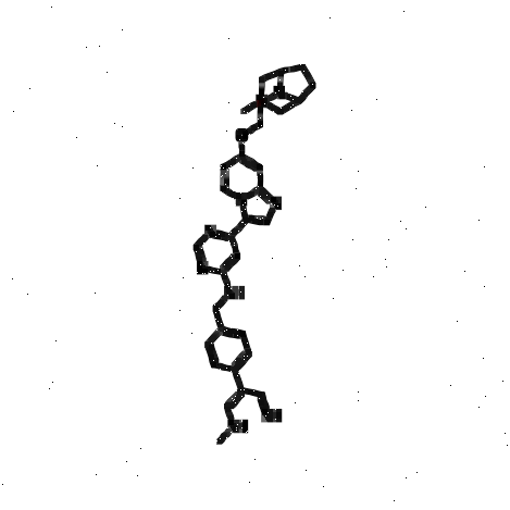 CN/C=C(\C=N)c1ccc(CNc2cc(-c3cnc4cc(OCCN5C6CCC5CN(C)C6)ccn34)ncn2)cc1